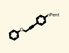 CCCCCc1ccc(C#CCOc2ccccc2)cc1